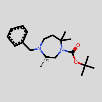 C[C@H]1CN(C(=O)OC(C)(C)C)C(C)(C)CCN1Cc1ccccc1